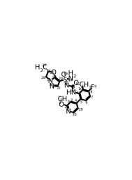 COc1cc(-c2ccc(F)c(C)c2NC(=O)N=S(N)(=O)c2cnn3c2O[C@@H](C)C3)ccn1